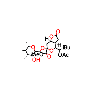 CC[C@@H](C)[C@@H](OC(C)=O)C1O[C@@](OCC2O[C@@H](C)C(C)[C@@H](C)[C@H]2O)(C(=O)OC)C[C@H]2OC(=O)C[C@@H]12